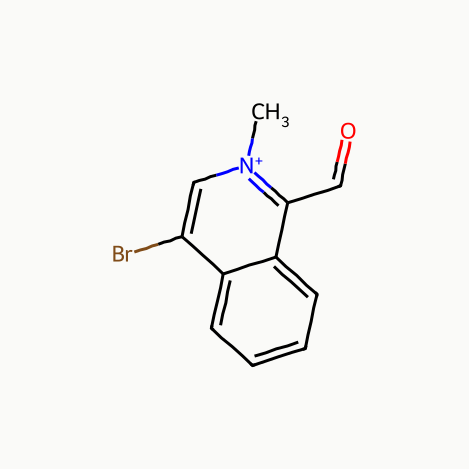 C[n+]1cc(Br)c2ccccc2c1C=O